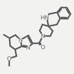 COCC1CC(C)Cn2cc(C(=O)N3CCC4(CC3)Cc3ccccc3CN4)nc21